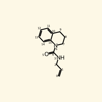 C=CCNC(=O)N1CCCc2ccccc21